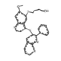 COc1cc2nccc(Oc3cc4cccnc4nc3-c3ccccc3)c2cc1OCCO